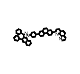 c1ccc(-c2cc3ccccc3c3c2c(-c2ccccc2)nn3-c2ccc(-c3ccc4c(ccc5cc(-c6ccc7ccc8cccnc8c7n6)ccc54)c3)cc2)cc1